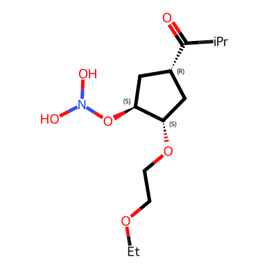 CCOCCO[C@H]1C[C@@H](C(=O)C(C)C)C[C@@H]1ON(O)O